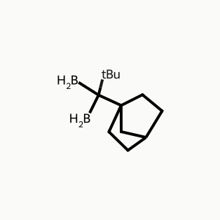 BC(B)(C(C)(C)C)C12CCC(CC1)C2